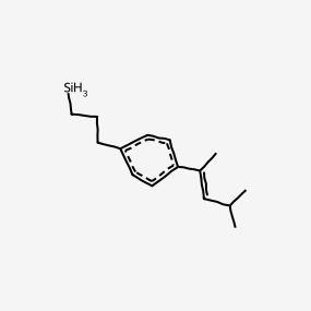 C/C(=C\C(C)C)c1ccc(CCC[SiH3])cc1